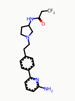 Nc1cccc(-c2ccc(CCN3CCC(NC(=O)CC(F)(F)F)C3)cc2)n1